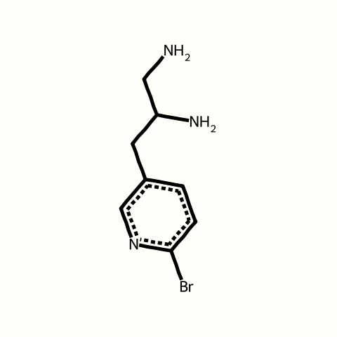 NCC(N)Cc1ccc(Br)nc1